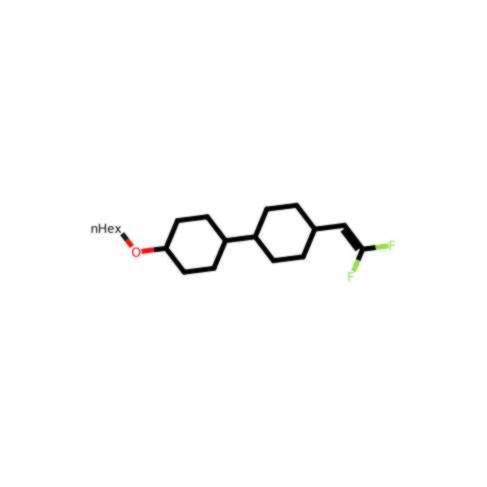 CCCCCCOC1CCC(C2CCC(C=C(F)F)CC2)CC1